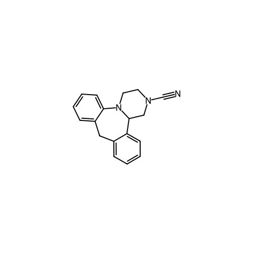 N#CN1CCN2c3ccccc3Cc3ccccc3C2C1